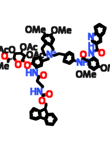 COC(=O)[C@H]1OC(Oc2ccc(C[N+]3(CCc4ccc(NC(=O)c5cc(OC)c(OC)cc5NC(=O)c5cnc6ccccc6c5)cc4)CCc4cc(OC)c(OC)cc4C3)cc2NC(=O)CCNC(=O)OCC2c3ccccc3-c3ccccc32)[C@@H](OC(C)=O)[C@H](OC(C)=O)[C@@H]1OC(C)=O